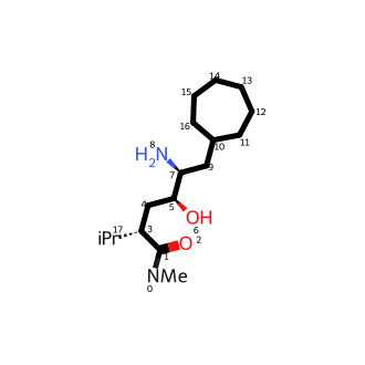 CNC(=O)[C@@H](C[C@H](O)[C@@H](N)CC1CCCCCC1)C(C)C